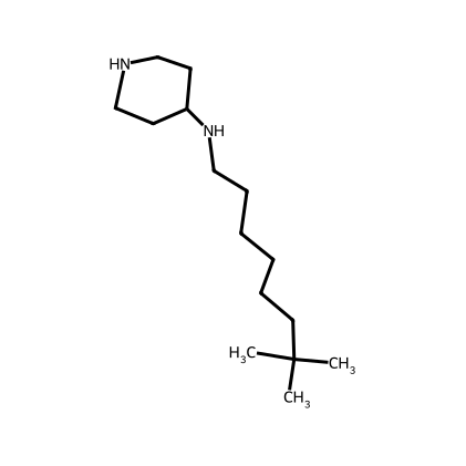 CC(C)(C)CCCCCCNC1CCNCC1